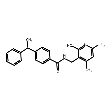 Cc1cc(C)c(CNC(=O)c2ccc([C@H](C)c3ccccc3)cc2)c(O)n1